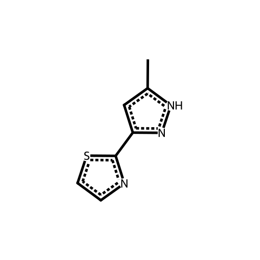 Cc1cc(-c2nccs2)n[nH]1